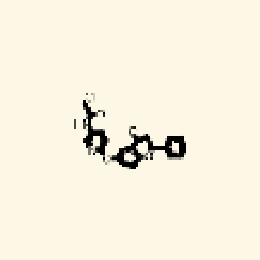 O=C(CCl)Nc1ccc(Oc2ccc3c(c2)C(=O)CC(c2ccccc2)O3)nc1